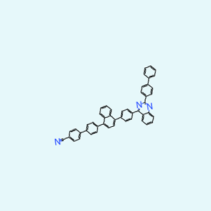 N#Cc1ccc(-c2ccc(-c3ccc(-c4ccc(-c5nc(-c6ccc(-c7ccccc7)cc6)nc6ccccc56)cc4)c4ccccc34)cc2)cc1